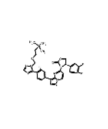 C[Si](C)(C)CCOCn1ncnc1-c1ccc(-c2cnn3ccc(N4C(=O)OC[C@H]4c4ccc(F)c(F)c4)nc23)cc1F